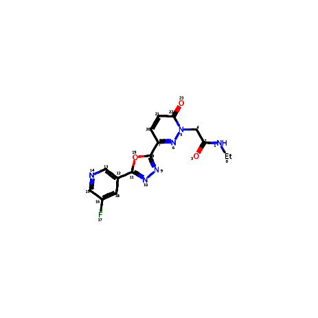 CCNC(=O)Cn1nc(-c2nnc(-c3cncc(F)c3)o2)ccc1=O